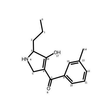 CCCC1NCC(C(=O)c2cccc(C)c2)=C1O